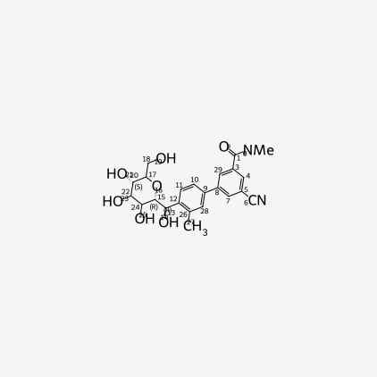 CNC(=O)c1cc(C#N)cc(-c2ccc([C@@H](O)[C@H]3OC(CO)[C@@H](O)C(O)C3O)c(C)c2)c1